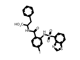 O=C(NC(Cc1ccccc1)C(=O)O)c1ccc(I)cc1NS(=O)(=O)c1cccc2scnc12